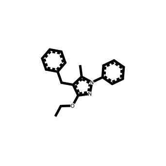 CCOc1nn(-c2ccccc2)c(C)c1Cc1ccccc1